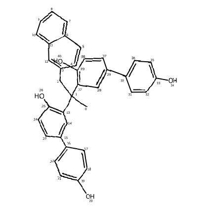 CC(Cc1ccc2ccccc2c1)(c1cc(-c2ccc(O)cc2)ccc1O)c1cc(-c2ccc(O)cc2)ccc1O